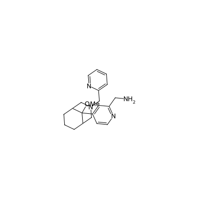 COC1(c2ccnc(CN)c2)C2CCCC1CN(Cc1ccccn1)C2